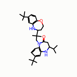 CC(C)C1CC(=O)N(CC(C)(C)C2CCOc3ccc(C(C)(C)C)cc3N2)c2ccc(C(C)(C)C)cc2N1